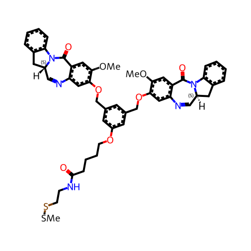 COc1cc2c(cc1OCc1cc(COc3cc4c(cc3OC)C(=O)N3c5ccccc5C[C@H]3C=N4)cc(OCCCCC(=O)NCCSSC)c1)N=C[C@@H]1Cc3ccccc3N1C2=O